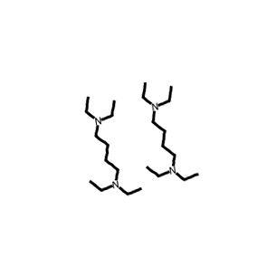 CCN(CC)CCCCN(CC)CC.CCN(CC)CCCCN(CC)CC